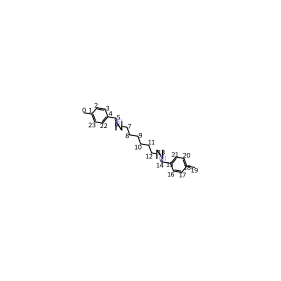 Cc1ccc(/C=N/CCCCCC/N=C/c2ccc(C)cc2)cc1